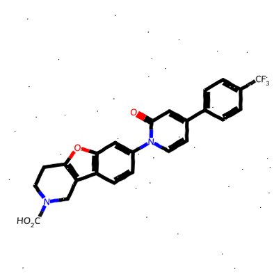 O=C(O)N1CCc2oc3cc(-n4ccc(-c5ccc(C(F)(F)F)cc5)cc4=O)ccc3c2C1